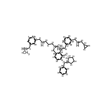 CNCc1ccnc(CNCCCN(C)Cc2cccc(C[C@@H]3CCCN3Cc3ccccc3)c2NCc2cc(CNCC3CC3)ccn2)c1